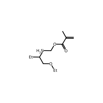 C=C(C)C(=O)OC[SiH2]C(CC)COCC